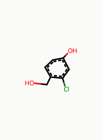 OCc1ccc(O)cc1Cl